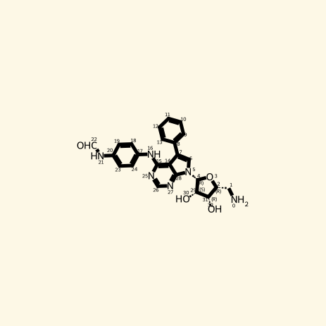 NC[C@H]1O[C@@H](n2cc(-c3ccccc3)c3c(Nc4ccc(NC=O)cc4)ncnc32)[C@@H](O)[C@H]1O